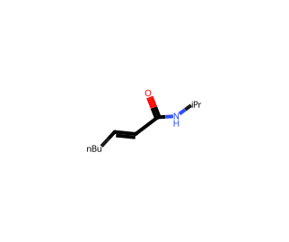 CCCCC=CC(=O)NC(C)C